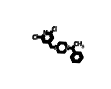 CC(c1ccccc1)N1CCN(Cc2cc(Cl)nc(Cl)c2)CC1